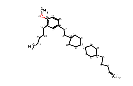 C=CCCC[C@H]1CC[C@H](C2CCC(CCc3ccc(OC)c(CCCCC)c3)CC2)CC1